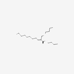 CCCCCCCCCC(C(=O)OCCCC)C(=O)OCCCC